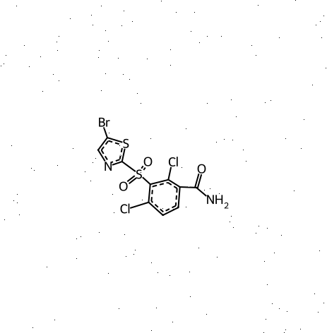 NC(=O)c1ccc(Cl)c(S(=O)(=O)c2ncc(Br)s2)c1Cl